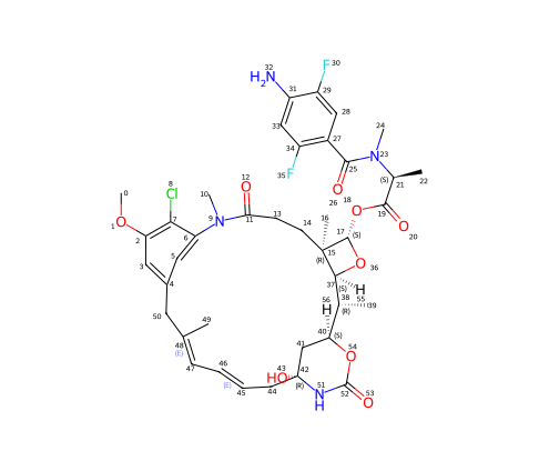 COc1cc2cc(c1Cl)N(C)C(=O)CC[C@@]1(C)[C@H](OC(=O)[C@H](C)N(C)C(=O)c3cc(F)c(N)cc3F)O[C@H]1[C@H](C)[C@@H]1C[C@](O)(C/C=C/C=C(\C)C2)NC(=O)O1